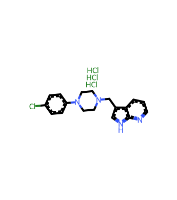 Cl.Cl.Cl.Clc1ccc(N2CCN(Cc3c[nH]c4ncccc34)CC2)cc1